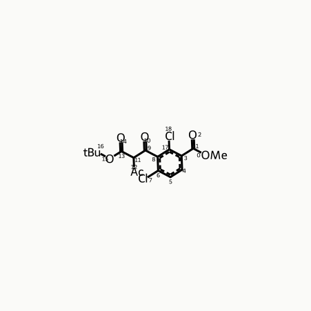 COC(=O)c1ccc(Cl)c(C(=O)C(C(C)=O)C(=O)OC(C)(C)C)c1Cl